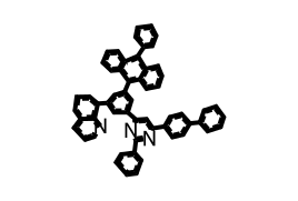 c1ccc(-c2ccc(-c3cc(-c4cc(-c5c6ccccc6c(-c6ccccc6)c6ccccc56)cc(-c5cccc6cccnc56)c4)nc(-c4ccccc4)n3)cc2)cc1